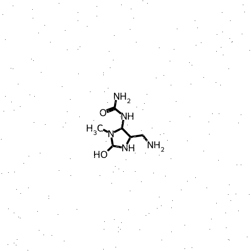 CN1C(O)NC(CN)C1NC(N)=O